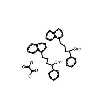 O=C([O-])C(=O)[O-].[Sn+][CH](CCCc1cccc2ccccc12)c1ccccc1.[Sn+][CH](CCCc1cccc2ccccc12)c1ccccc1